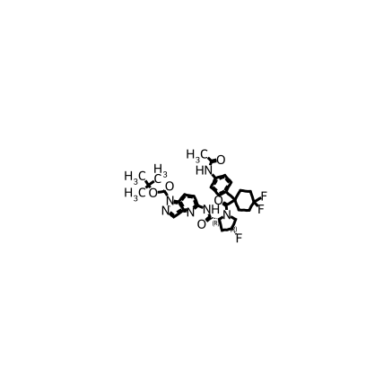 CC(=O)Nc1ccc(C2(C(=O)N3C[C@H](F)C[C@@H]3C(=O)Nc3ccc4c(cnn4C(=O)OC(C)(C)C)n3)CCC(F)(F)CC2)cc1